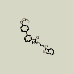 COc1ccc(-c2cccc(C(=O)NCCNc3nsc4ccccc34)c2)cc1